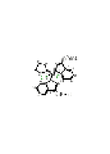 CCCCCC1=C[CH]([Zr]([Cl])([Cl])(=[C]2CCCC2)[CH]2C=C(CCCCC)c3ccccc32)c2ccccc21